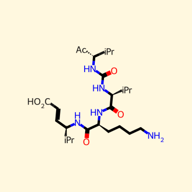 CC(=O)[C@@H](NC(=O)N[C@H](C(=O)N[C@@H](CCCCN)C(=O)N[C@H](/C=C/C(=O)O)C(C)C)C(C)C)C(C)C